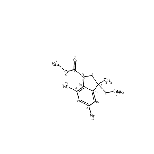 COCC1(C)CN(C(=O)OC(C)(C)C)c2c(C#N)cc(Br)cc21